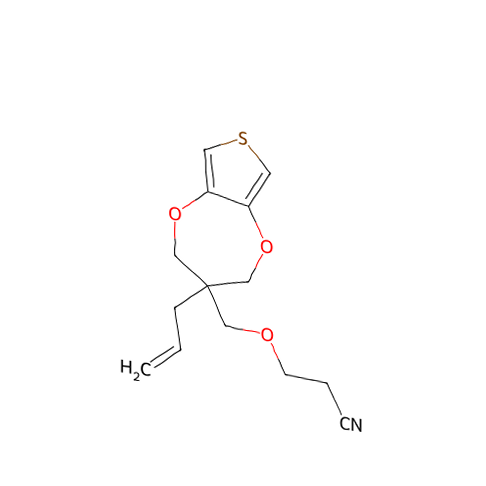 C=CCC1(COCCC#N)COc2cscc2OC1